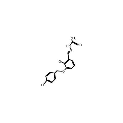 N=C(N)N/N=C/c1cccc(OCc2ccc(Cl)cc2)c1Cl